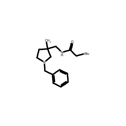 CC(C)(C)CC(=O)NCC1(C)CCN(Cc2ccccc2)C1